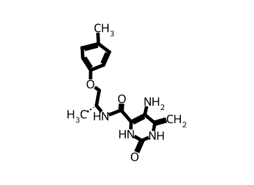 C=C1NC(=O)NC(C(=O)N[C@H](C)COc2ccc(C)cc2)=C1N